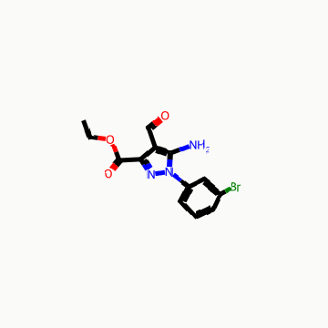 CCOC(=O)c1nn(-c2cccc(Br)c2)c(N)c1C=O